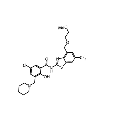 COCCOCc1cc(C(F)(F)F)cc2sc(NC(=O)c3cc(Cl)cc(CN4CCCCC4)c3O)nc12